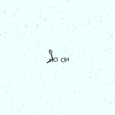 Cl.Cl.[B]CC